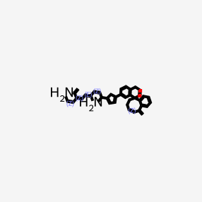 C=C(N)C(/C=C\C)=C\C=C(C)\C=C/C(N)C1=CC=C(c2ccc3c(c2)C2(CC/C=C\C(=C)c4ccccc42)c2ccccc2C3)C1